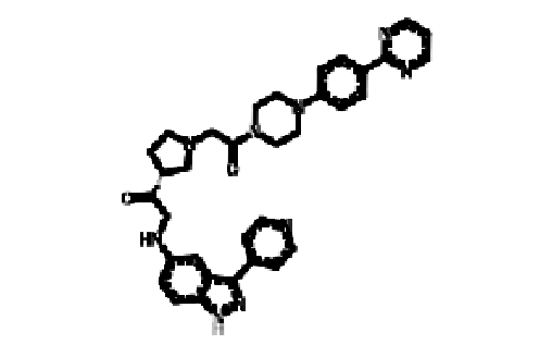 O=C(CNc1ccc2[nH]nc(-c3ccncc3)c2c1)[C@@H]1CCN(CC(=O)N2CCN(c3ccc(-c4ncccn4)cc3)CC2)C1